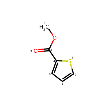 [CH2]OC(=O)c1cccs1